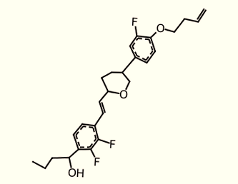 C=CCCOc1ccc(C2CCC(/C=C/c3ccc(C(O)CCC)c(F)c3F)OC2)cc1F